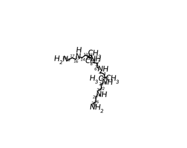 CC(C)(CCNCCCNC(C)(C)CCNCCCN)NCCCNCCCN